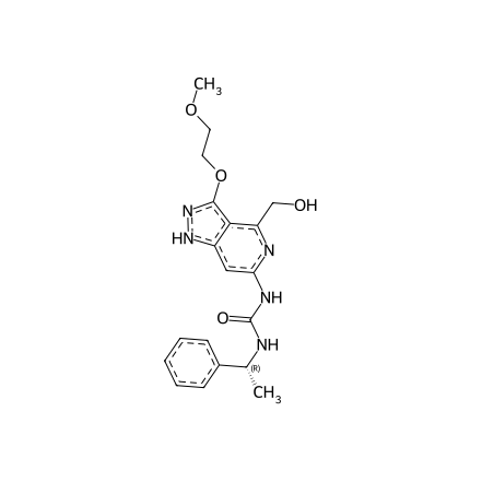 COCCOc1n[nH]c2cc(NC(=O)N[C@H](C)c3ccccc3)nc(CO)c12